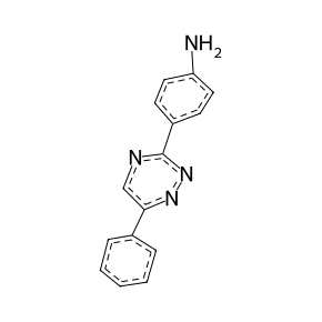 Nc1ccc(-c2ncc(-c3ccccc3)nn2)cc1